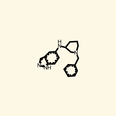 c1ccc(CN2CCCC(Nc3ccc4[nH]ncc4c3)C2)cc1